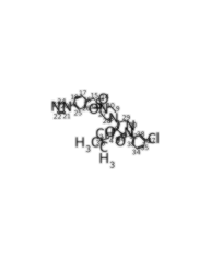 CC(C)(C)COc1c(N2CCN(S(=O)(=O)Cc3ccc(-n4ccnc4)cc3)CC2)cnn(-c2cccc(Cl)c2)c1=O